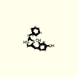 Oc1ccc(C=C2CNC(=Nc3ccccc3)S2)c(O)c1